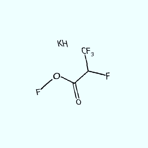 O=C(OF)C(F)C(F)(F)F.[KH]